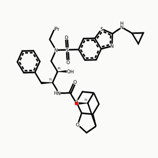 CC(C)CN(C[C@@H](O)[C@H](Cc1ccccc1)NC(=O)O[C@H]1C2COC3OCC1C3C2)S(=O)(=O)c1ccc2nc(NC3CC3)sc2c1